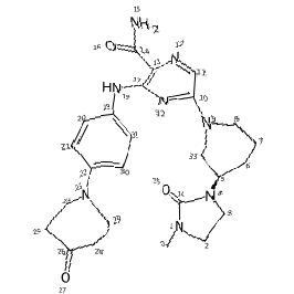 CN1CCN([C@@H]2CCCN(c3cnc(C(N)=O)c(Nc4ccc(N5CCC(=O)CC5)cc4)n3)C2)C1=O